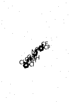 O=C(NC(=O)c1c(Cl)cccc1Cl)Nc1ccc(Oc2ccc(Cl)c(C(F)(F)F)c2)nc1